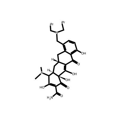 CC(C)CN(Cc1ccc(O)c2c1C[C@H]1C[C@@H]3C(N(C)C)C(O)=C(C(N)=O)C(=O)[C@@]3(O)C(O)=C1C2=O)CC(C)C